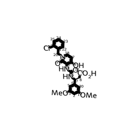 COc1cc(OC)cc([C@H](CC(=O)O)NC(=O)Nc2c(O)ccn(Cc3ccccc3Cl)c2=O)c1